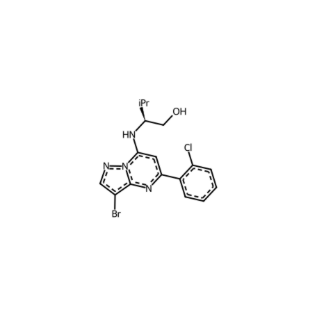 CC(C)[C@@H](CO)Nc1cc(-c2ccccc2Cl)nc2c(Br)cnn12